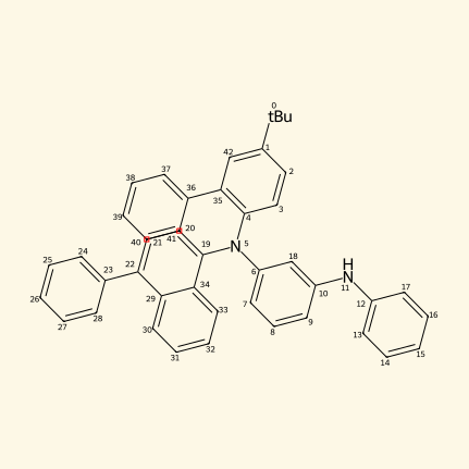 CC(C)(C)c1ccc(N(c2cccc(Nc3ccccc3)c2)c2ccc(-c3ccccc3)c3ccccc23)c(-c2ccccc2)c1